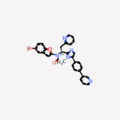 Cn1c(-c2ccc(-c3cccnc3)cc2)cnc1[C@H](Cc1ccccn1)N(C=O)c1cc2cc(Br)ccc2o1